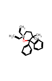 C=C[Si]1(C=C)CCC(C)(C)C(c2ccccc2)(c2ccccc2)O1